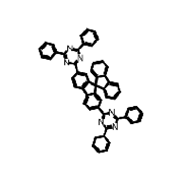 C1=CCC(c2nc(-c3ccccc3)nc(-c3ccc4c(c3)C3(c5ccccc5-c5ccccc53)c3cc(-c5nc(-c6ccccc6)nc(-c6ccccc6)n5)ccc3-4)n2)C=C1